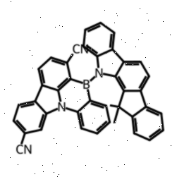 CC1(C)c2ccccc2-c2ccc3c4ccccc4n(B4c5ccccc5-n5c6cc(C#N)ccc6c6ccc(C#N)c4c65)c3c21